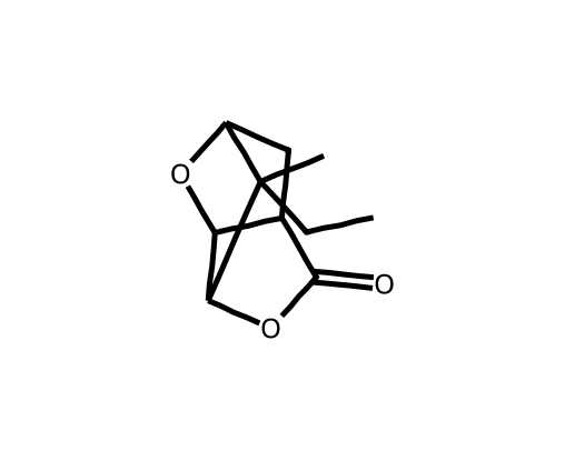 CCC1(C)C2CC3C(=O)OC1C3O2